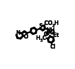 CCOP(=O)(Nc1cc(-c2ccc(-c3cc4ncccc4o3)cc2)sc1C(=O)O)c1ccc(Cl)cc1C